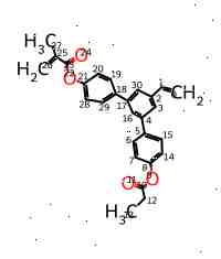 C=Cc1cc(-c2ccc(OC(=O)CC)cc2)cc(-c2ccc(OC(=O)C(=C)C)cc2)c1